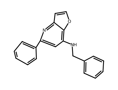 c1ccc(CNc2cc(-c3ccccc3)nc3ccoc23)cc1